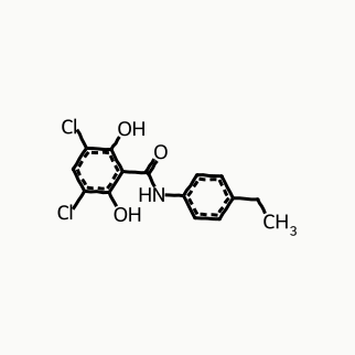 CCc1ccc(NC(=O)c2c(O)c(Cl)cc(Cl)c2O)cc1